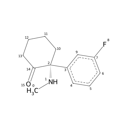 CN[C@@]1(c2cccc(F)c2)CCCCC1=O